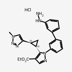 CCOC(=O)c1cnn(-c2cccc(-c3cccc(NN)c3)c2)c1[C@H]1C[C@@H]1c1cn(C)nn1.Cl